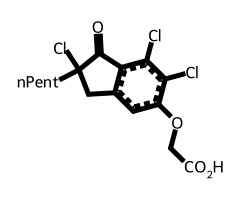 CCCCCC1(Cl)Cc2cc(OCC(=O)O)c(Cl)c(Cl)c2C1=O